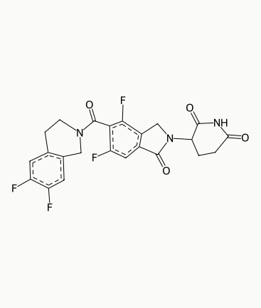 O=C1CCC(N2Cc3c(cc(F)c(C(=O)N4CCc5cc(F)c(F)cc5C4)c3F)C2=O)C(=O)N1